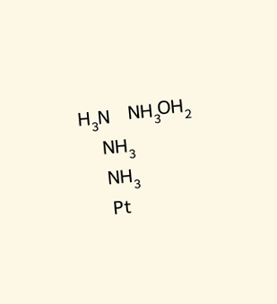 N.N.N.N.O.[Pt]